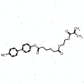 C=C(C)C(=O)OCCOC(=O)CCCCC(=O)Oc1ccc(-c2ccc(C#N)cc2)cc1